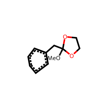 COC1(Cc2ccccc2)OCCO1